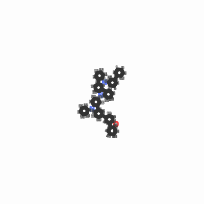 c1ccc(-c2cccc(-n3c4ccccc4c4ccc5c(c6ccccc6n5-c5ccc6c(c5)c5cc(-c7ccc8oc9ccccc9c8c7)ccc5n6-c5ccccc5)c43)c2)cc1